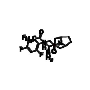 CC(=O)NCC(=O)N1C2CCC1CC([C@@H](N)Cc1cc(F)c(F)cc1F)C2